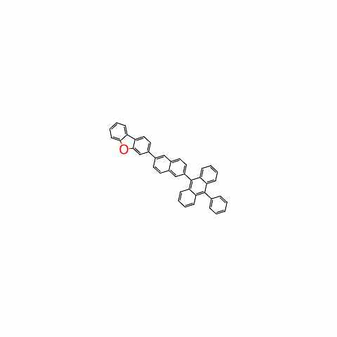 c1ccc(-c2c3ccccc3c(-c3ccc4cc(-c5ccc6c(c5)oc5ccccc56)ccc4c3)c3ccccc23)cc1